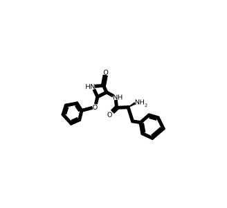 N[C@@H](Cc1ccccc1)C(=O)NC1C(=O)NC1Oc1ccccc1